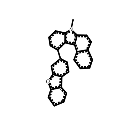 Cn1c2cccc(-c3ccc4c(c3)oc3ccccc34)c2c2c3ccccc3ccc21